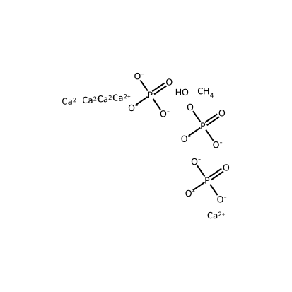 C.O=P([O-])([O-])[O-].O=P([O-])([O-])[O-].O=P([O-])([O-])[O-].[Ca+2].[Ca+2].[Ca+2].[Ca+2].[Ca+2].[OH-]